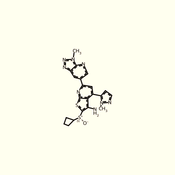 Cn1nccc1-c1cc(-c2cnc3c(c2)nnn3C)nc2sc([S@+]([O-])C3CCC3)c(N)c12